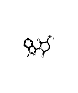 Cn1nc(N2C(=O)CCC(N)C2=O)c2ccccc21